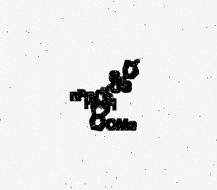 CCCN1C[C@@H](COS(=O)(=O)c2ccc(C)cc2)O[C@H]2Cc3c(cccc3OC)C[C@@H]21